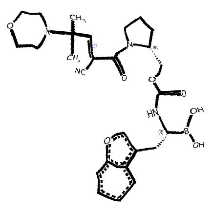 CC(C)(/C=C(\C#N)C(=O)N1CCC[C@@H]1COC(=O)N[C@@H](Cc1coc2ccccc12)B(O)O)N1CCOCC1